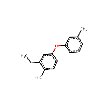 CCc1cc(Oc2cccc(C)c2)ccc1C